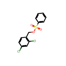 O=S(=O)(OCc1ccc(Cl)cc1Cl)c1ccccc1